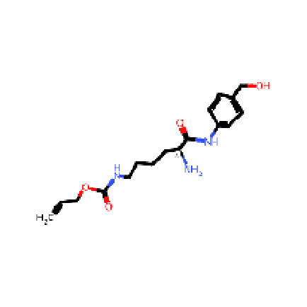 C=CCOC(=O)NCCCC[C@H](N)C(=O)Nc1ccc(CO)cc1